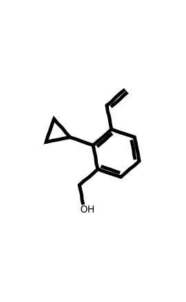 C=Cc1cccc(CO)c1C1CC1